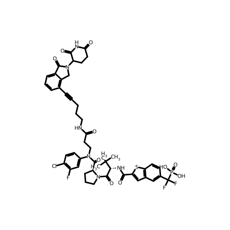 CC(C)(C)[C@H](NC(=O)c1cc2cc(C(F)(F)P(=O)(O)O)ccc2s1)C(=O)N1CCC[C@H]1C(=O)N(CCC(=O)NCCCC#Cc1cccc2c1CN(C1CCC(=O)NC1=O)C2=O)c1ccc(Cl)c(F)c1